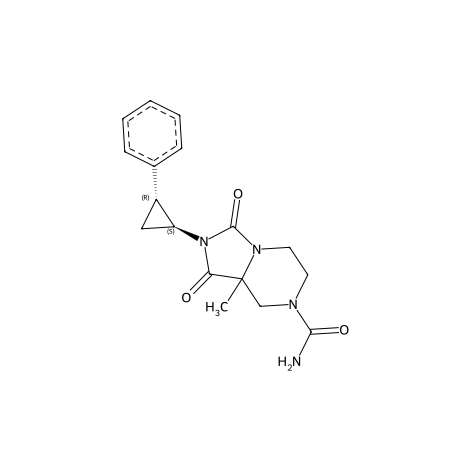 CC12CN(C(N)=O)CCN1C(=O)N([C@H]1C[C@@H]1c1ccccc1)C2=O